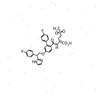 CS(=O)(=O)CC[C@H](NC(=O)c1ccc(OCC(c2ccc(F)cc2)c2ncc[nH]2)cc1-c1ccc(F)cc1)C(=O)O